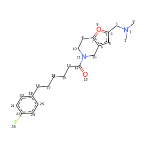 CN(C)Cc1cc2c(o1)CCN(C(=O)CCCCCc1ccc(F)cc1)C2